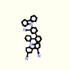 N#CC1=Cc2c(n(C3=C(c4ccccc4-c4ccc(-n5c6ccccc6c6ccccc65)c(C#N)c4)CCC=C3)c3cccc(C#N)c23)CC1